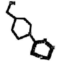 OCC1CCN(c2cccnn2)CC1